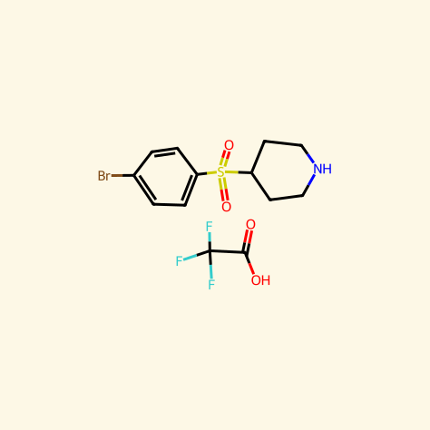 O=C(O)C(F)(F)F.O=S(=O)(c1ccc(Br)cc1)C1CCNCC1